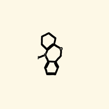 IN1C2=C(CCCC2)OCc2ccccc21